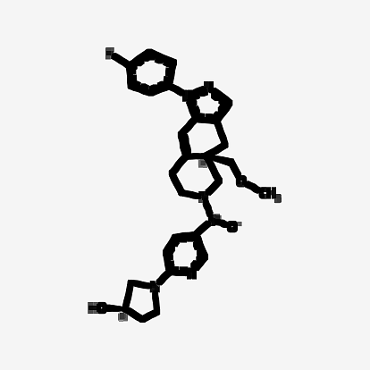 COC[C@]12Cc3cnn(-c4ccc(F)cc4)c3C=C1CCN([S+]([O-])c1ccc(N3CC[C@@H](O)C3)nc1)C2